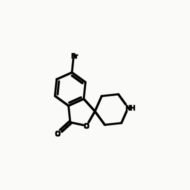 O=C1OC2(CCNCC2)c2cc(Br)ccc21